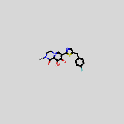 CC(C)N1CCn2cc(-c3ncc(Cc4ccc(F)cc4)s3)c(=O)c(O)c2C1=O